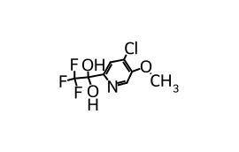 COc1cnc(C(O)(O)C(F)(F)F)cc1Cl